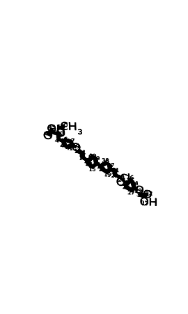 CCOC(Cc1ccc(OCC=Cc2ccc(-c3ccc(C=CCOc4ccc(OCC(=O)O)cc4Cl)cc3)cc2)cc1)C(=O)O